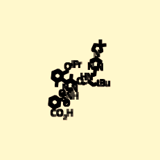 Cc1cccc(COC(C)C)c1-c1nc(NS(=O)(=O)c2cccc(C(=O)O)c2)nc(OC[C@@H](CC(C)(C)C)NCc2ncc(N3CCC(C)(C)C3)cn2)c1C